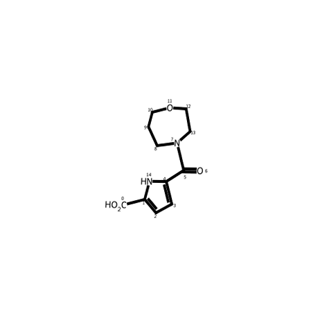 O=C(O)c1ccc(C(=O)N2CCCOCC2)[nH]1